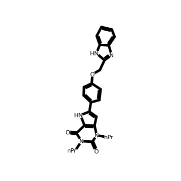 CCCn1c(=O)c2[nH]c(-c3ccc(OCc4nc5ccccc5[nH]4)cc3)cc2n(CCC)c1=O